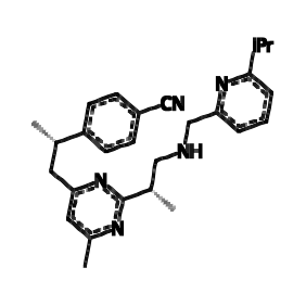 Cc1cc(C[C@H](C)c2ccc(C#N)cc2)nc([C@@H](C)CNCc2cccc(C(C)C)n2)n1